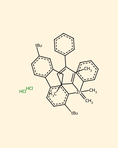 Cl.Cl.[CH2]=[Zr]([CH3])([C]1=C(C)C(c2ccccc2)=CC1C)([c]1ccccc1)[c]1c(C(C)(C)C)ccc2c1Cc1cc(C(C)(C)C)ccc1-2